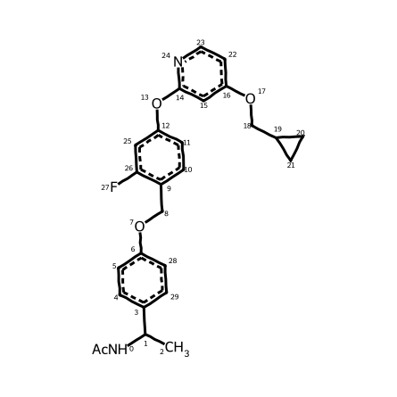 CC(=O)NC(C)c1ccc(OCc2ccc(Oc3cc(OCC4CC4)ccn3)cc2F)cc1